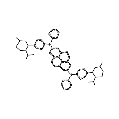 CC1CCC(C(C)C)C(c2ccc(N(c3ccccc3)c3cc4ccc5cc(N(c6ccccc6)c6ccc(C7CC(C)CCC7C(C)C)cc6)cc6ccc(c3)c4c56)cc2)C1